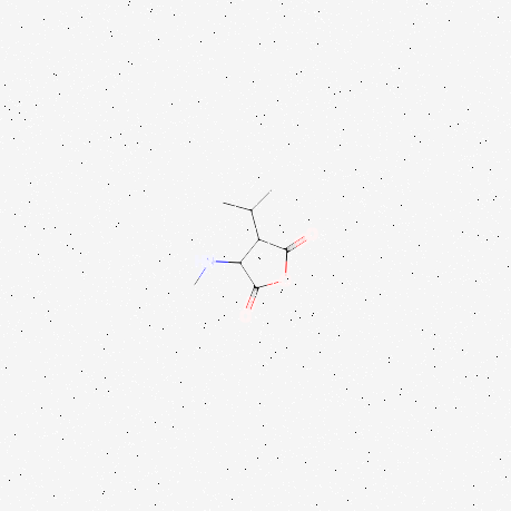 CNC1C(=O)OC(=O)C1C(C)C